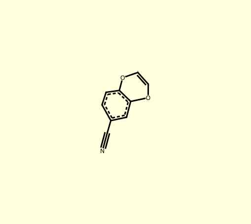 N#Cc1ccc2c(c1)OC=[C]O2